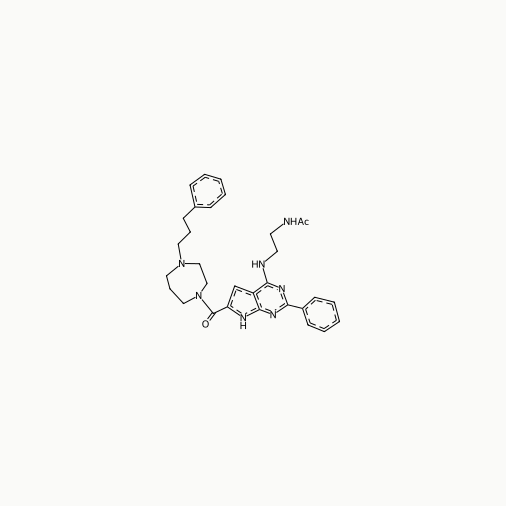 CC(=O)NCCNc1nc(-c2ccccc2)nc2[nH]c(C(=O)N3CCCN(CCCc4ccccc4)CC3)cc12